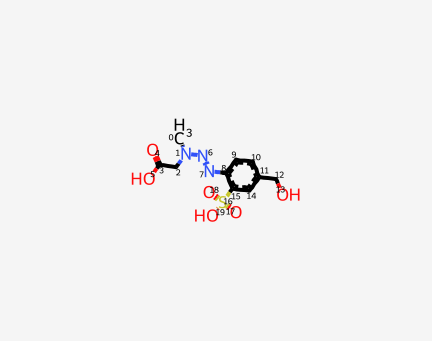 CN(CC(=O)O)N=Nc1ccc(CO)cc1S(=O)(=O)O